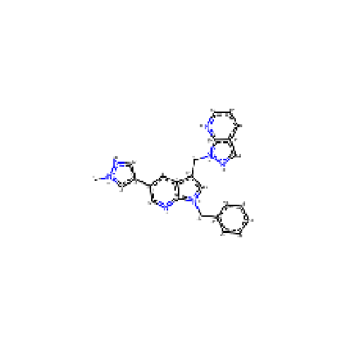 Cn1cc(-c2cnc3c(c2)c(Cn2ncc4cccnc42)cn3Cc2ccccc2)cn1